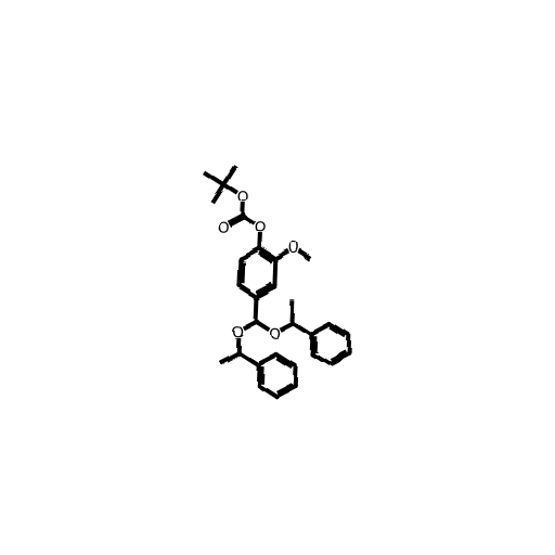 COc1cc(C(OC(C)c2ccccc2)OC(C)c2ccccc2)ccc1OC(=O)OC(C)(C)C